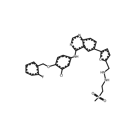 CS(=O)(=O)CCNNCc1ccc(-c2ccc3ncnc(Nc4ccc(OCc5ccccc5F)c(Cl)c4)c3c2)o1